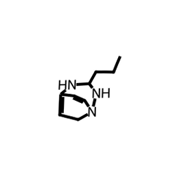 CCCC1NC2=CCN(C=C2)N1